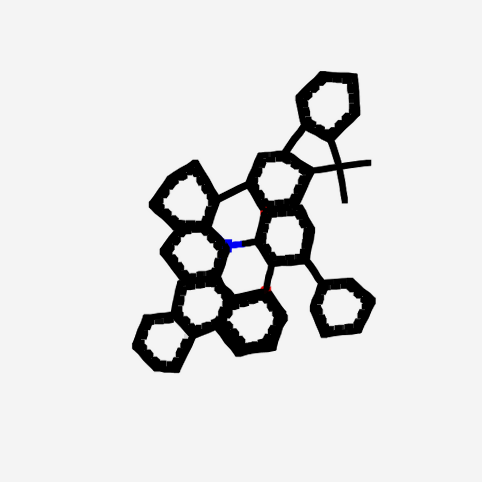 CC1(C)c2ccccc2-c2cc(-c3ccccc3N(c3cccc(-c4ccccc4)c3-c3ccccc3-c3ccccc3)c3cc4ccccc4c4ccccc34)ccc21